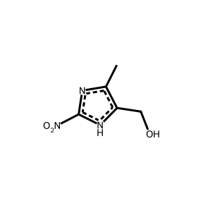 Cc1nc([N+](=O)[O-])[nH]c1CO